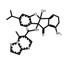 Cc1c(C(=O)NC23C(=O)C4=C(N)CCC=C4C2(O)Oc2cc(C(C)C)ccc23)cnc2ccnn12